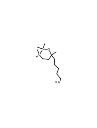 CC1(CCCCCN)CC[Si](C)(C)[Si](C)(C)O1